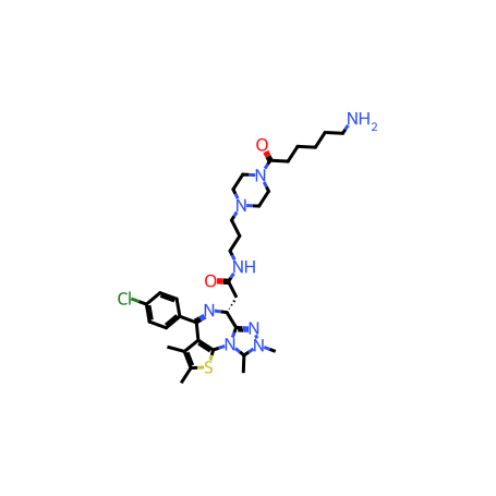 Cc1sc2c(c1C)C(c1ccc(Cl)cc1)=N[C@H](CC(=O)NCCCN1CCN(C(=O)CCCCCN)CC1)C1=NN(C)C(C)N12